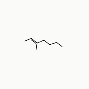 [CH2]CCC/C(C)=C/C